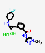 Cl.Cl.Cn1cc(NC(=O)c2cccc(C3CC3NC3CCC(F)(F)CC3)c2)cn1